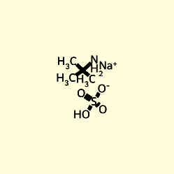 CC(C)(C)N.O=S(=O)([O-])O.[Na+]